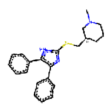 CN1CCC[C@@H](CSc2nc(-c3ccccc3)c(-c3ccccc3)[nH]2)C1